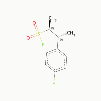 C[C@H](c1ccc(F)cc1)[C@H](C)S(=O)(=O)F